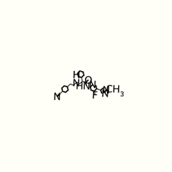 Cn1cc(-c2cnc(NC(=O)C(CNCCc3ccc(C#N)cc3)c3ccccc3)cc2F)cn1